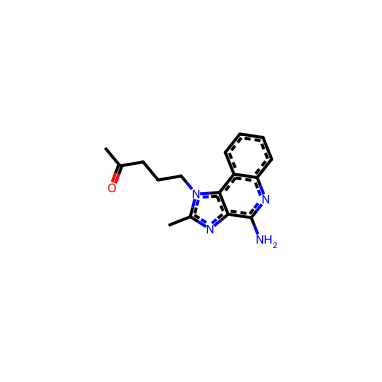 CC(=O)CCCn1c(C)nc2c(N)nc3ccccc3c21